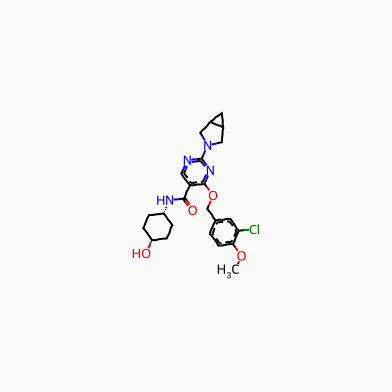 COc1ccc(COc2nc(N3CC4CC4C3)ncc2C(=O)N[C@H]2CC[C@H](O)CC2)cc1Cl